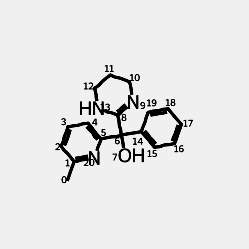 Cc1cccc(C(O)(C2=NCCCN2)c2ccccc2)n1